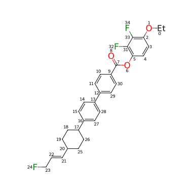 CCOc1ccc(OC(=O)c2ccc(-c3ccc(C4CCC(/C=C/CF)CC4)cc3)cc2)c(F)c1F